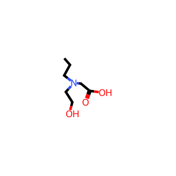 CCCN(CCO)CC(=O)O